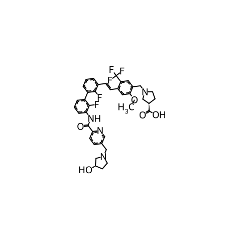 COc1cc(/C=C/c2cccc(-c3cccc(NC(=O)c4ccc(CN5CC[C@@H](O)C5)cn4)c3F)c2F)c(C(F)(F)F)cc1CN1CC[C@@H](C(=O)O)C1